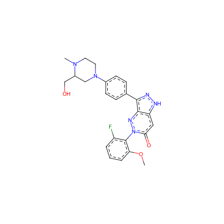 COc1cccc(F)c1-n1nc2c(-c3ccc(N4CCN(C)C(CO)C4)cc3)n[nH]c2cc1=O